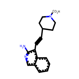 Nc1ncc2ccccc2c1C#CC1CCN(C(=O)O)CC1